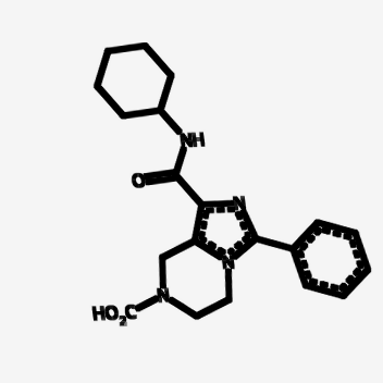 O=C(NC1CCCCC1)c1nc(-c2ccccc2)n2c1CN(C(=O)O)CC2